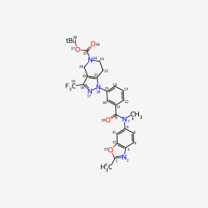 Cc1nc2ccc(N(C)C(=O)c3cccc(-n4nc(C(F)(F)F)c5c4CCN(C(=O)OC(C)(C)C)C5)c3)cc2o1